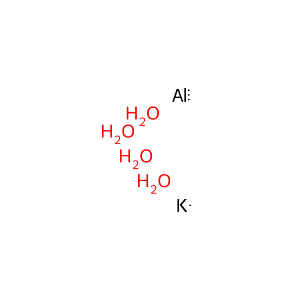 O.O.O.O.[Al].[K]